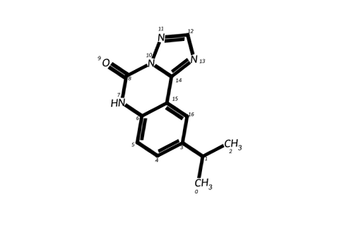 CC(C)c1ccc2[nH]c(=O)n3ncnc3c2c1